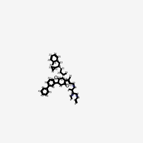 C=C/C=C\C(=C/C)C(C)/C=C\c1oc2c(c1C)[C@@H](C(C)CC[C@H](CC1C=CC=CC1C)C1CC1)C1Oc3ccc(-c4ccccc4)cc3C1C2